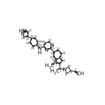 C#CC1CN(C(=C)c2cc3ccc(-c4nccc(Nc5ccc(-c6cn[nH]c6)cc5)n4)cc3n2C)C1